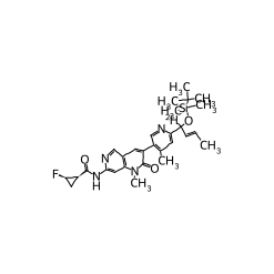 [2H]C(C=CC)(O[Si](C)(C)C(C)(C)C)c1cc(C)c(-c2cc3cnc(NC(=O)[C@H]4C[C@H]4F)cc3n(C)c2=O)cn1